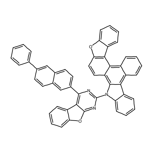 c1ccc(-c2ccc3cc(-c4nc(-n5c6ccccc6c6c7ccccc7c7c(ccc8oc9ccccc9c87)c65)nc5oc6ccccc6c45)ccc3c2)cc1